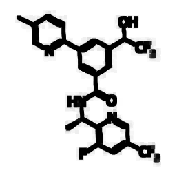 Cc1ccc(-c2cc(C(=O)N[C@H](C)c3ncc(C(F)(F)F)cc3F)cc(C(O)C(F)(F)F)c2)nc1